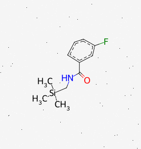 C[Si](C)(C)CNC(=O)c1cccc(F)c1